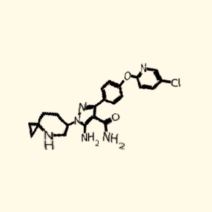 NC(=O)c1c(-c2ccc(Oc3ccc(Cl)cn3)cc2)nn(C2CCC3(CC3)NC2)c1N